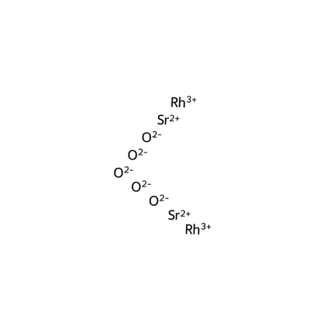 [O-2].[O-2].[O-2].[O-2].[O-2].[Rh+3].[Rh+3].[Sr+2].[Sr+2]